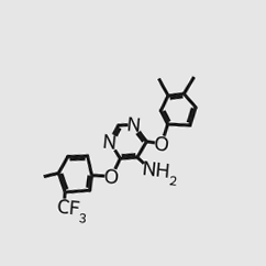 Cc1ccc(Oc2ncnc(Oc3ccc(C)c(C(F)(F)F)c3)c2N)cc1C